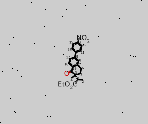 CCOC(=O)C(C)C1(C)CCc2cc(-c3ccc([N+](=O)[O-])cc3)ccc2C1=O